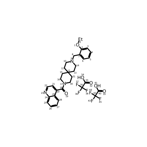 CCOc1ccccc1CN1CCC2(CC1)CCN(C(=O)c1ccnc3ccccc13)CC2.O=C(O)C(F)(F)F.O=C(O)C(F)(F)F